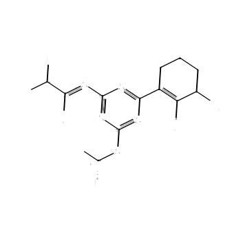 CC[C@@H](Nc1nc(/N=C(\C)C(F)F)nc(C2=C(F)C(O)CCC2)n1)C(F)(F)F